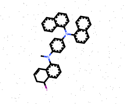 CN(c1ccc(N(c2cccc3ccccc23)c2cccc3ccccc23)cc1)c1cccc2c1C=CCC2I